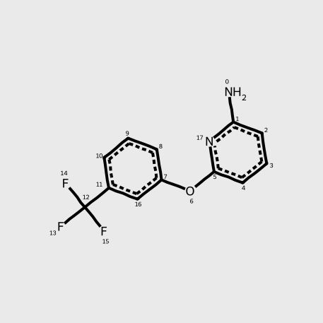 Nc1cccc(Oc2cccc(C(F)(F)F)c2)n1